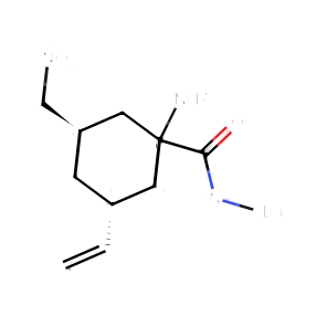 C=C[C@@H]1C[C@@H](C[N+](=O)[O-])CC(NC(C)=O)(C(=O)NC(C)(C)C)C1